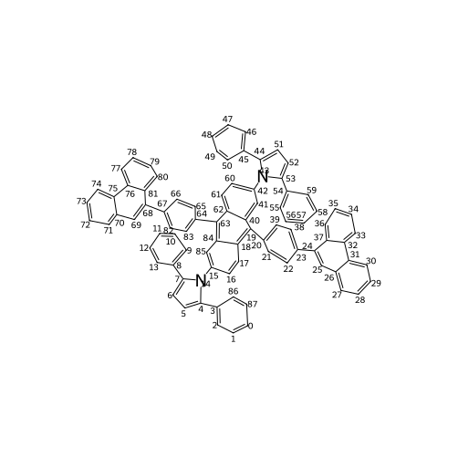 c1ccc(-c2ccc(-c3ccccc3)n2-c2ccc3c(-c4ccc(-c5cc6ccccc6c6ccccc56)cc4)c4cc(-n5c(-c6ccccc6)ccc5-c5ccccc5)ccc4c(-c4ccc(-c5cc6ccccc6c6ccccc56)cc4)c3c2)cc1